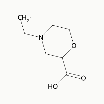 [CH2]CN1CCOC(C(=O)O)C1